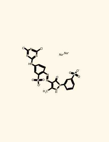 Cc1[nH]n(-c2cccc(S(=O)(=O)[O-])c2)c(=O)c1N=Nc1ccc(Nc2nc(Cl)nc(Cl)n2)cc1S(=O)(=O)[O-].[Na+].[Na+]